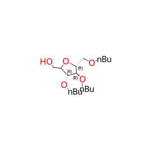 CCCCOC[C@H]1OC(CO)[C@@H](OCCCC)[C@@H]1OCCCC